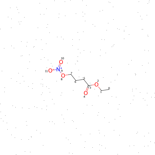 CCOC(=O)CCCO[N+](=O)[O-]